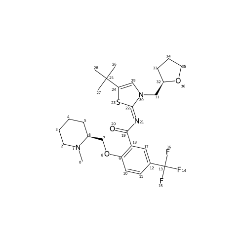 CN1CCCC[C@H]1COc1ccc(C(F)(F)F)cc1C(=O)/N=c1\sc(C(C)(C)C)cn1C[C@H]1CCCO1